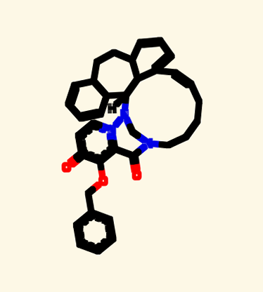 O=C1c2c(OCc3ccccc3)c(=O)ccn2N2CN1CCCC/C=C\C1=CC=CC3CCC4C=CC=CC4[C@@H]2C13